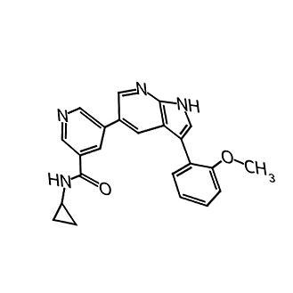 COc1ccccc1-c1c[nH]c2ncc(-c3cncc(C(=O)NC4CC4)c3)cc12